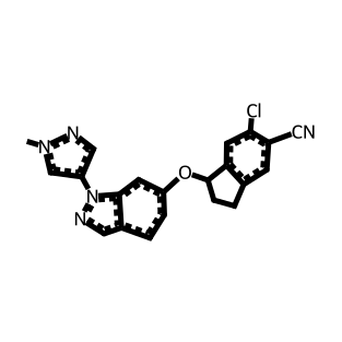 Cn1cc(-n2ncc3ccc(OC4CCc5cc(C#N)c(Cl)cc54)cc32)cn1